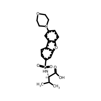 CC(C)[C@H](NS(=O)(=O)c1ccc2c(c1)oc1ccc(N3CCOCC3)cc12)C(=O)O